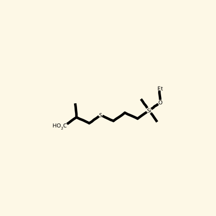 CCO[Si](C)(C)CCCSCC(C)C(=O)O